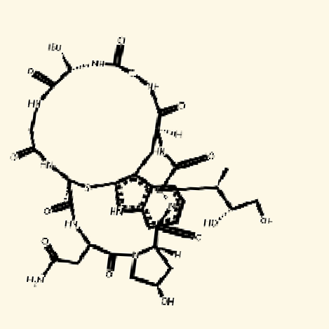 CC[C@H](C)[C@@H]1NC(=O)CNC(=O)[C@@H]2Cc3c([nH]c4ccccc34)S[C@H](NC(=O)CNC1=O)C(=O)NC(CC(N)=O)C(=O)N1C[C@H](O)C[C@H]1C(=O)N[C@@H]([C@@H](C)[C@@H](O)CO)C(=O)N2